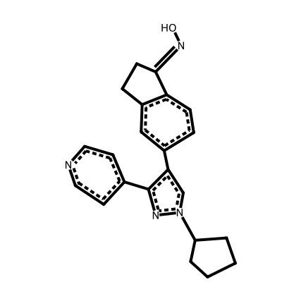 ON=C1CCc2cc(-c3cn(C4CCCC4)nc3-c3ccncc3)ccc21